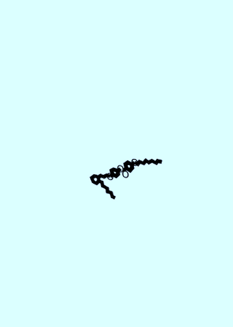 C=CCCCCCCCOc1ccc(C(=O)Oc2ccc(OCCCC3CCCCC3CCCCCCC)cc2)cc1